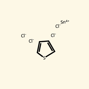 [Cl-].[Cl-].[Cl-].[Cl-].[Sn+4].c1ccsc1